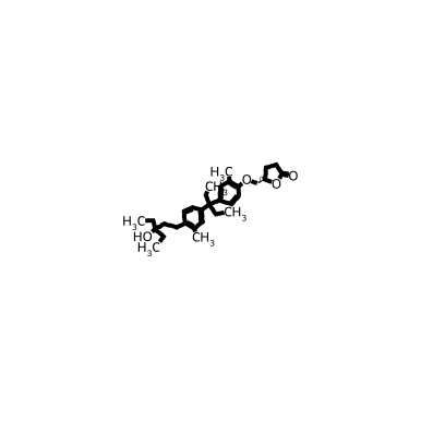 CCC(O)(CC)CCc1ccc(C(CC)(CC)c2ccc(OC[C@@H]3CCC(=O)O3)c(C)c2)cc1C